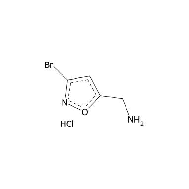 Cl.NCc1cc(Br)no1